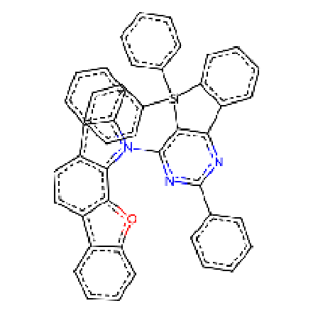 c1ccc(-c2nc3c(c(-n4c5ccccc5c5ccc6c7ccccc7oc6c54)n2)[Si](c2ccccc2)(c2ccccc2)c2ccccc2-3)cc1